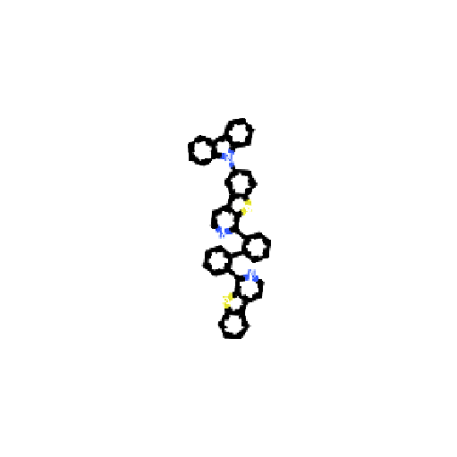 c1ccc(-c2nccc3c2sc2ccccc23)c(-c2ccccc2-c2nccc3c2sc2ccc(-n4c5ccccc5c5ccccc54)cc23)c1